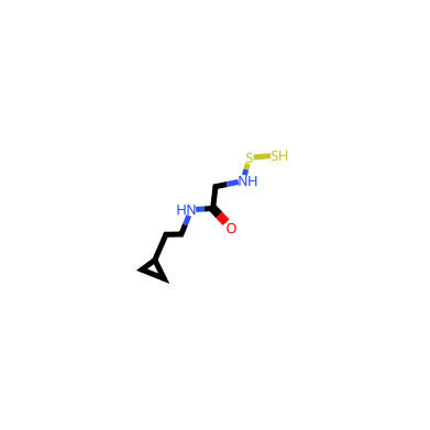 O=C(CNSS)NCCC1CC1